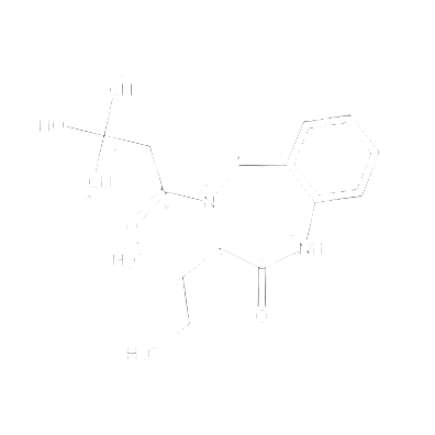 CC[C@H](C)[C@H]1C(=O)Nc2ccccc2CN1C(=O)CC(C)(C)O